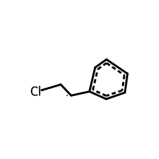 ClC[CH]c1ccccc1